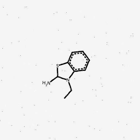 CCN1c2ccccc2SC1N